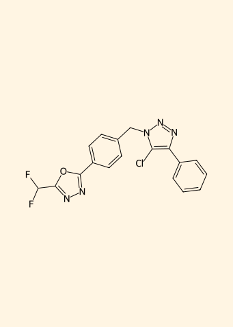 FC(F)c1nnc(-c2ccc(Cn3nnc(-c4ccccc4)c3Cl)cc2)o1